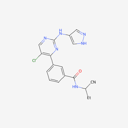 CCC(C#N)NC(=O)c1cccc(-c2nc(Nc3cn[nH]c3)ncc2Cl)c1